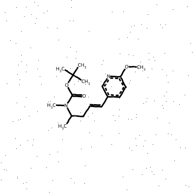 COc1ccc(C=CCC(C)N(C)C(=O)OC(C)(C)C)cn1